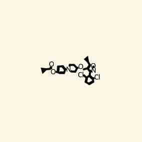 O=C(Oc1ccc(N2CCC(OCc3c(-c4c(Cl)cccc4Cl)noc3C3CC3)CC2)cc1)C1CC1